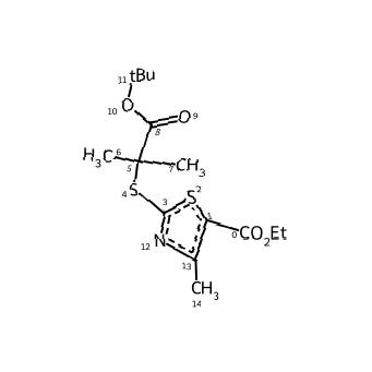 CCOC(=O)c1sc(SC(C)(C)C(=O)OC(C)(C)C)nc1C